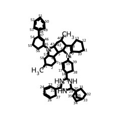 CC1CCC2C3C4C(C5=C(CCCC5)N4C4C=CC(C5NC(C6C=CC=CC6)NC(C67CCC(CC6)C7)N5)CC4)C(C)CC3N(C3C=C(c4ccccc4)CCC3)C2C1